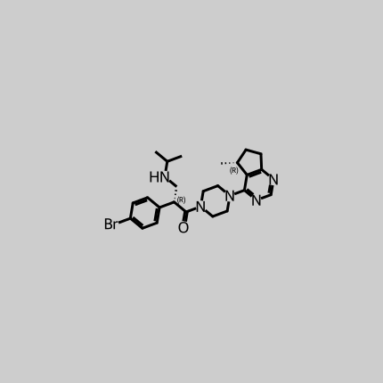 CC(C)NC[C@H](C(=O)N1CCN(c2ncnc3c2[C@H](C)CC3)CC1)c1ccc(Br)cc1